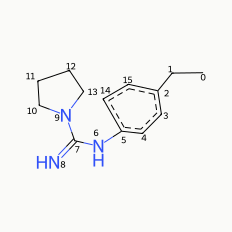 CCc1ccc(NC(=N)N2CCCC2)cc1